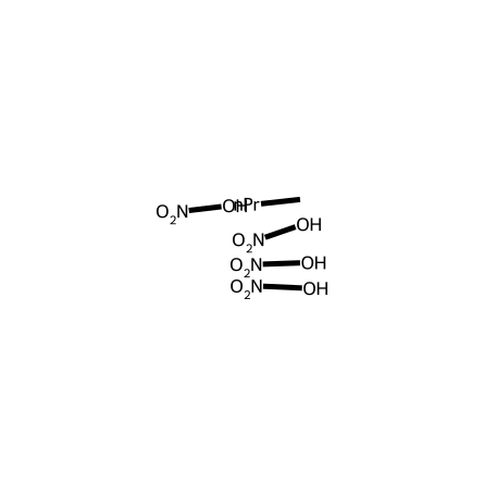 CCCC.O=[N+]([O-])O.O=[N+]([O-])O.O=[N+]([O-])O.O=[N+]([O-])O